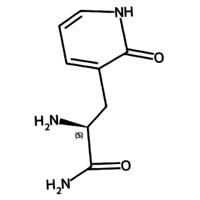 NC(=O)[C@@H](N)Cc1ccc[nH]c1=O